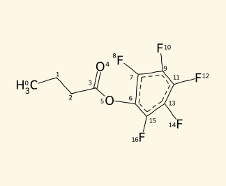 CCCC(=O)Oc1c(F)c(F)c(F)c(F)c1F